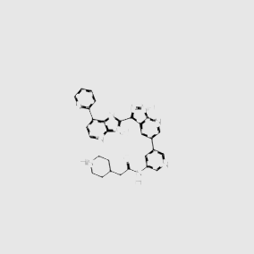 O=C(CC1CCNCC1)Nc1cncc(-c2cnc3[nH]nc(-c4nc5c(-c6ccccn6)ccnc5[nH]4)c3c2)c1